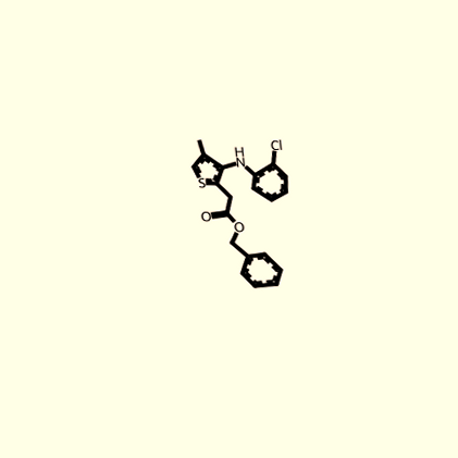 Cc1csc(CC(=O)OCc2ccccc2)c1Nc1ccccc1Cl